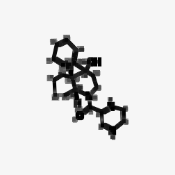 O=C(c1cnccn1)N1CCC(O)(c2ccccc2)[C@H]2CCCC[C@H]21